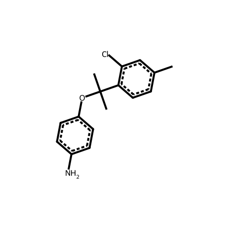 Cc1ccc(C(C)(C)Oc2ccc(N)cc2)c(Cl)c1